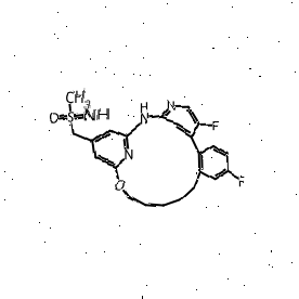 CS(=N)(=O)Cc1cc2nc(c1)OCCCCCc1cc(F)ccc1-c1cc(ncc1F)N2